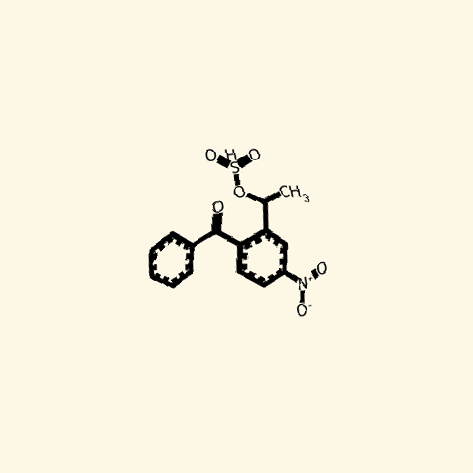 CC(O[SH](=O)=O)c1cc([N+](=O)[O-])ccc1C(=O)c1ccccc1